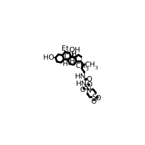 CC[C@@H]1C2C[C@H](O)CC[C@]2(C)[C@H]2CC[C@]3(C)[C@@H]([C@H](C)CCNC(=O)NS(=O)(=O)N4CCS(=O)(=O)CC4)CC[C@H]3[C@@H]2[C@@H]1O